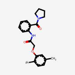 Cc1ccc(C(C)C)c(OCC(=O)Nc2ccccc2C(=O)N2CCCC2)c1